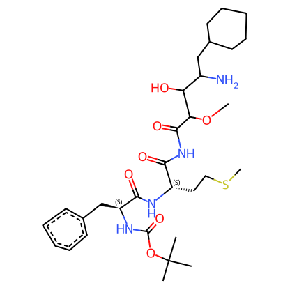 COC(C(=O)NC(=O)[C@H](CCSC)NC(=O)[C@H](Cc1ccccc1)NC(=O)OC(C)(C)C)C(O)C(N)CC1CCCCC1